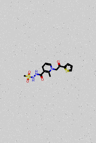 CC1=C(C(=O)NNS(C)(=O)=O)CC=CN1CC(=O)c1cccs1